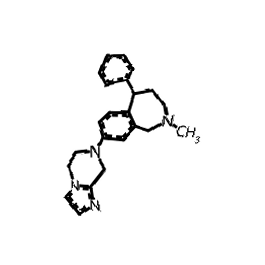 CN1CCC(c2ccccc2)c2ccc(N3CCn4ccnc4C3)cc2C1